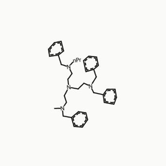 CCCN(CCN(CCN(C)Cc1ccccc1)CCN(Cc1ccccc1)Cc1ccccc1)Cc1ccccc1